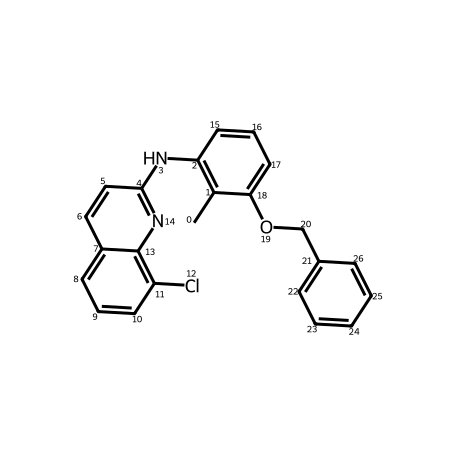 Cc1c(Nc2ccc3cccc(Cl)c3n2)cccc1OCc1ccccc1